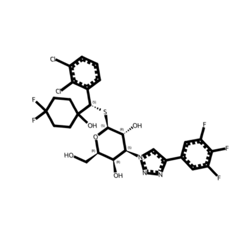 OC[C@H]1O[C@@H](S[C@@H](c2cccc(Cl)c2Cl)C2(O)CCC(F)(F)CC2)[C@H](O)[C@@H](n2cc(-c3cc(F)c(F)c(F)c3)nn2)[C@H]1O